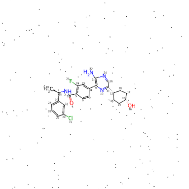 C[C@@H](NC(=O)c1ccc(-c2nc([C@H]3CC[C@@H](O)CC3)cnc2N)cc1F)c1cccc(Cl)c1